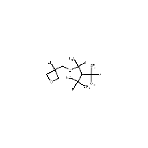 CCC1(COC(F)(C(C(F)(C(F)(F)F)C(F)(F)F)C(F)(C(F)(F)F)C(F)(F)F)C(F)(F)F)COC1